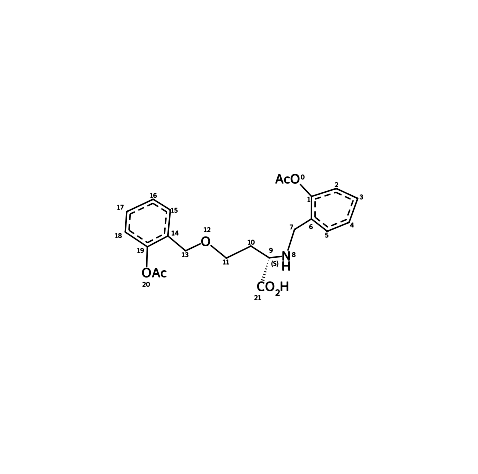 CC(=O)Oc1ccccc1CN[C@@H](CCOCc1ccccc1OC(C)=O)C(=O)O